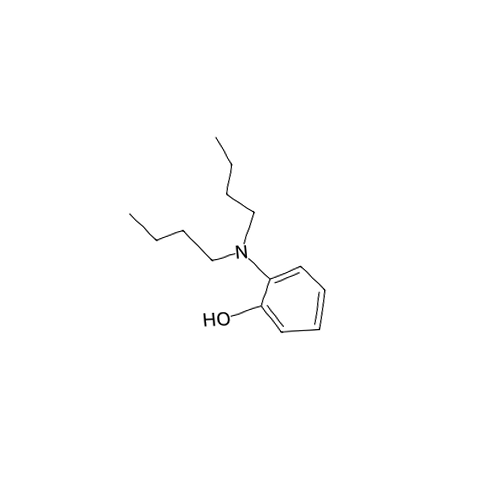 CCCCN(CCCC)c1ccccc1O